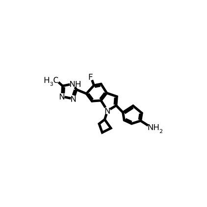 Cc1nnc(-c2cc3c(cc2F)cc(-c2ccc(N)cc2)n3C2CCC2)[nH]1